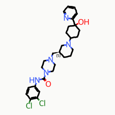 O=C(Nc1ccc(Cl)c(Cl)c1)N1CCN(C[C@@H]2CCCN(C3CCC(O)(c4ccccn4)CC3)C2)CC1